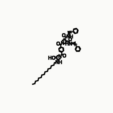 CCCCCCCCCCCCCCCN[C@H]1CN(C(=O)c2ccc(C(=O)N3C[C@@H](C(=O)N[C@H]4C[C@@H]4c4ccccc4)[C@H](C(=O)N[C@H]4C[C@@H]4c4ccccc4)C3)cc2)C[C@@H]1O